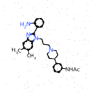 CC(=O)Nc1cccc(C2CCN(CCCn3c(-c4ccccc4N)nc4cc(C)c(C)cc43)CC2)c1